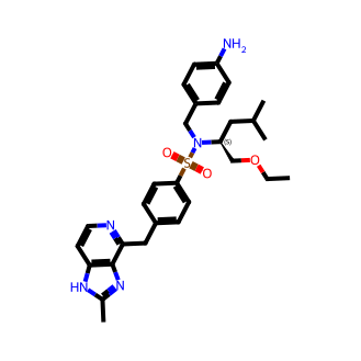 CCOC[C@H](CC(C)C)N(Cc1ccc(N)cc1)S(=O)(=O)c1ccc(Cc2nccc3[nH]c(C)nc23)cc1